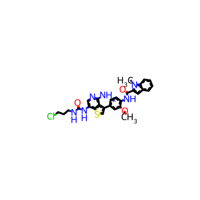 COc1cc(-c2csc3c(NC(=O)NCCCCl)cnc(N)c23)ccc1NC(=O)c1cc2ccccc2n1C